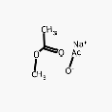 CC(=O)[O-].COC(C)=O.[Na+]